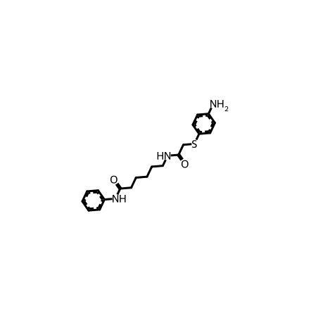 Nc1ccc(SCC(=O)NCCCCCC(=O)Nc2ccccc2)cc1